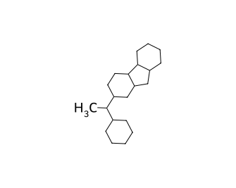 CC(C1CCCCC1)C1CCC2C(C1)CC1CCCCC12